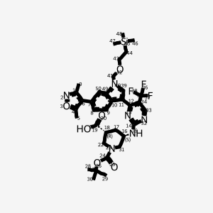 Cc1noc(C)c1-c1ccc2c(-c3nc(N[C@H]4C[C@@H](C(=O)O)CN(C(=O)OC(C)(C)C)C4)ncc3C(F)(F)F)cn(COCC[Si](C)(C)C)c2c1